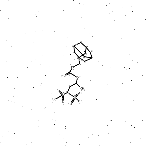 CC(CC(S(=O)(=O)C(F)(F)F)S(=O)(=O)C(F)(F)F)OC(=O)NCC12CC3CC(CC(C3)C1)C2